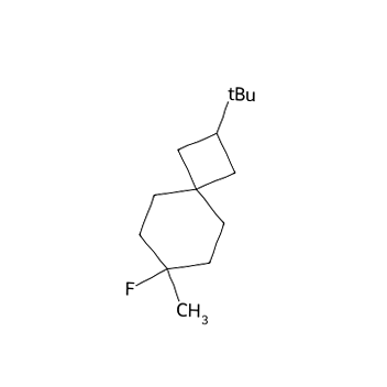 CC1(F)CCC2(CC1)CC(C(C)(C)C)C2